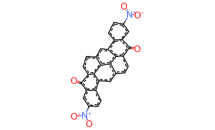 O=c1c2cc([N+](=O)[O-])ccc2c2cc3ccc4c(=O)c5cc([N+](=O)[O-])ccc5c5cc6ccc1c2c6c3c45